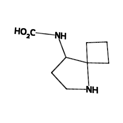 O=C(O)NC1CCNC12CCC2